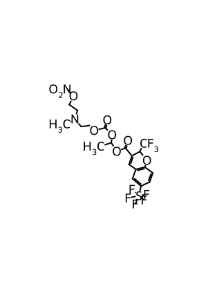 CC(OC(=O)OCCN(C)CCO[N+](=O)[O-])OC(=O)C1=Cc2cc(S(F)(F)(F)(F)F)ccc2OC1C(F)(F)F